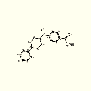 COC(=O)c1ccc([C@@H](C)N2CCN(c3ccncn3)CC2)cc1